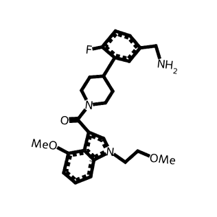 COCCn1cc(C(=O)N2CCC(c3cc(CN)ccc3F)CC2)c2c(OC)cccc21